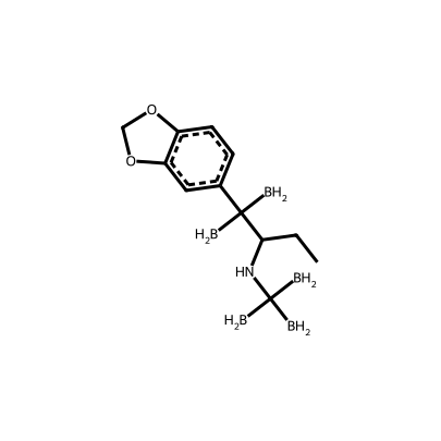 BC(B)(B)NC(CC)C(B)(B)c1ccc2c(c1)OCO2